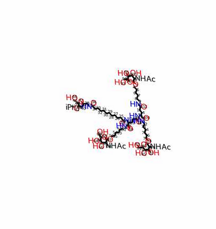 CC(=O)NC1C(OCCCCCCNC(=O)CCC(NC(=O)CCC(NC(=O)CCCCCCCCCCC(=O)NCC2C[C@H](OC(C)C)[C@@H](CO)O2)C(=O)NCCCCCCOC2OC(CO)C(O)C(O)C2NC(C)=O)C(=O)NCCCCCCOC2OC(CO)C(O)C(O)C2NC(C)=O)OC(CO)C(O)C1O